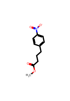 [CH2]OC(=O)CCCc1ccc([N+](=O)[O-])cc1